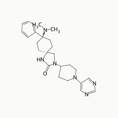 CN(C)[C@]1(c2ccccc2)CC[C@]2(CC1)CN(C1CCN(c3cncnc3)CC1)C(=O)N2